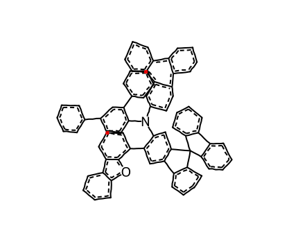 c1ccc(-c2ccc(N(c3ccc4c5ccccc5c5ccccc5c4c3)c3cc4c(cc3-c3cccc5c3oc3ccccc35)-c3ccccc3C43c4ccccc4-c4ccccc43)c(-c3ccccc3)c2)cc1